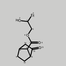 CCC(O)COC(=O)C1C2CCC1C(=O)C2